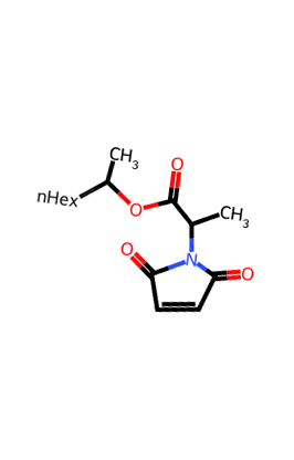 CCCCCCC(C)OC(=O)C(C)N1C(=O)C=CC1=O